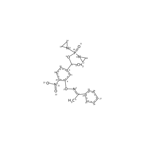 C/C(=N\Oc1cc(C(C)OP(=O)(N2CC2)N2CC2)ccc1[N+](=O)[O-])c1ccccc1